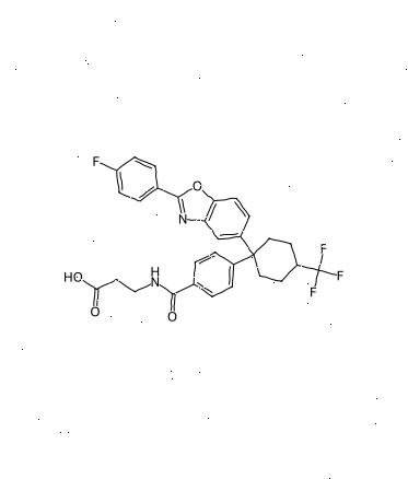 O=C(O)CCNC(=O)c1ccc(C2(c3ccc4oc(-c5ccc(F)cc5)nc4c3)CCC(C(F)(F)F)CC2)cc1